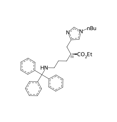 CCCCn1cnc(C[C@H](CCCNC(c2ccccc2)(c2ccccc2)c2ccccc2)C(=O)OCC)c1